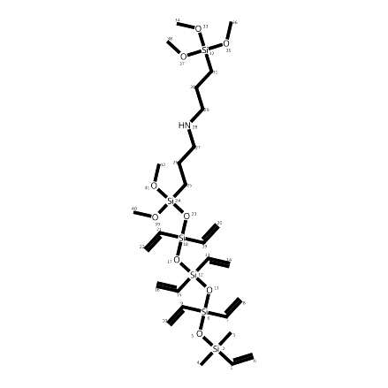 C=C[Si](C)(C)O[Si](C=C)(C=C)O[Si](C=C)(C=C)O[Si](C=C)(C=C)O[Si](CCCNCCC[Si](OC)(OC)OC)(OC)OC